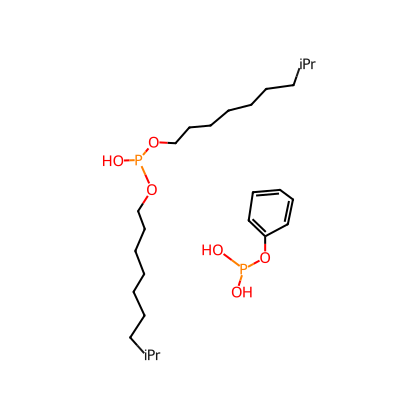 CC(C)CCCCCCCOP(O)OCCCCCCCC(C)C.OP(O)Oc1ccccc1